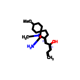 C=C/C=C(O)\C=C1/CCC2(CCC(OC)CC2)C12N=C(N)N(C)O2